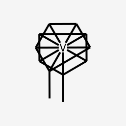 C[C]12[CH]3[CH]4[CH]5[CH]1[V]45321678[CH]2[CH]1[CH]6[C]7(C)[CH]28